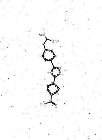 CNC(Cc1ccc(-c2noc(-c3ccc(C(N)=O)cc3)n2)cc1)C(=O)O